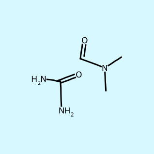 CN(C)C=O.NC(N)=O